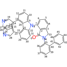 O=C1c2c(cccc2-n2c3cccc(-c4cccnc4)c3c3c(-c4cccnc4)cccc32)CN1c1ccccc1-c1ccccc1